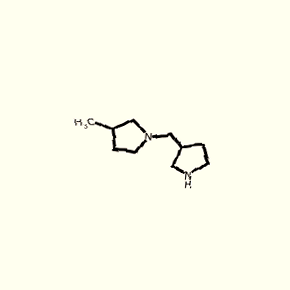 CC1CCN(CC2CCNC2)C1